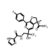 C[C@]1(C(N)=O)COc2c1cc(C(O)(CNC(=O)c1ncc[nH]1)C(F)(F)F)nc2-c1ccc(F)cc1